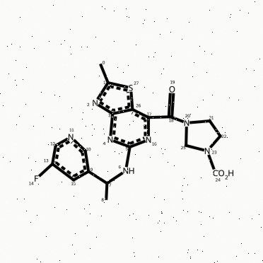 Cc1nc2nc(NC(C)c3cncc(F)c3)nc(C(=O)N3CCN(C(=O)O)C3)c2s1